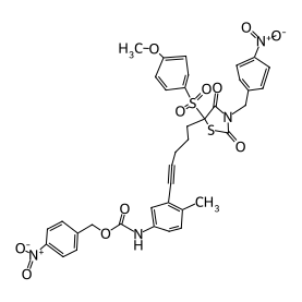 COc1ccc(S(=O)(=O)C2(CCCC#Cc3cc(NC(=O)OCc4ccc([N+](=O)[O-])cc4)ccc3C)SC(=O)N(Cc3ccc([N+](=O)[O-])cc3)C2=O)cc1